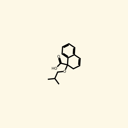 CC(C)COC1(C(=O)O)CC=Cc2ccccc21